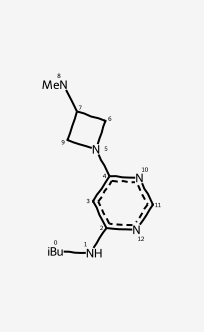 CCC(C)Nc1cc(N2CC(NC)C2)ncn1